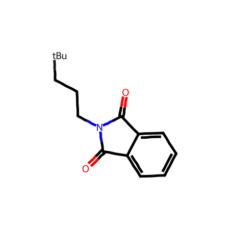 CC(C)(C)CCCN1C(=O)c2ccccc2C1=O